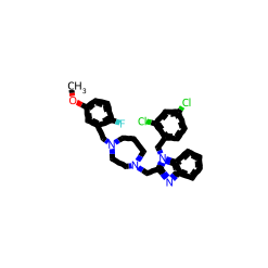 COc1ccc(F)c(CN2CCCN(Cc3nc4ccccc4n3Cc3ccc(Cl)cc3Cl)CC2)c1